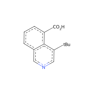 CC(C)(C)c1cncc2cccc(C(=O)O)c12